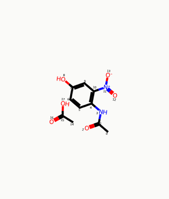 CC(=O)Nc1ccc(O)cc1[N+](=O)[O-].CC(=O)O